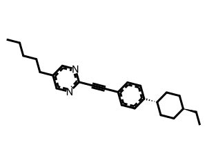 CCCCCc1cnc(C#Cc2ccc([C@H]3CC[C@H](CC)CC3)cc2)nc1